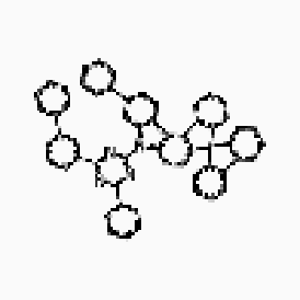 c1ccc(-c2cccc(-c3nc(-c4ccccc4)nc(-n4c5cc(-c6ccccc6)ccc5c5c6c(ccc54)C4(c5ccccc5-c5ccccc54)c4ccccc4-6)n3)c2)cc1